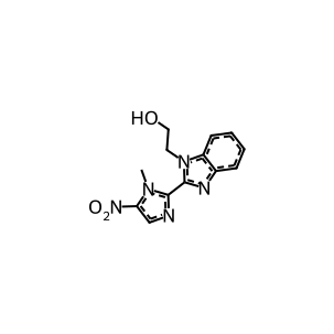 Cn1c([N+](=O)[O-])cnc1-c1nc2ccccc2n1CCO